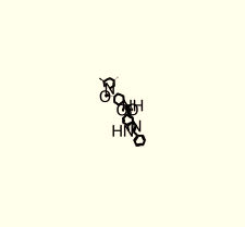 C[C@H]1C[C@H](C)CN(C(=O)[C@H]2CC[C@H](NS(=O)(=O)c3ccc4[nH]c(-c5ccccc5)nc4c3)CC2)C1